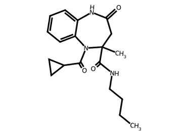 CCCCNC(=O)C1(C)CC(=O)Nc2ccccc2N1C(=O)C1CC1